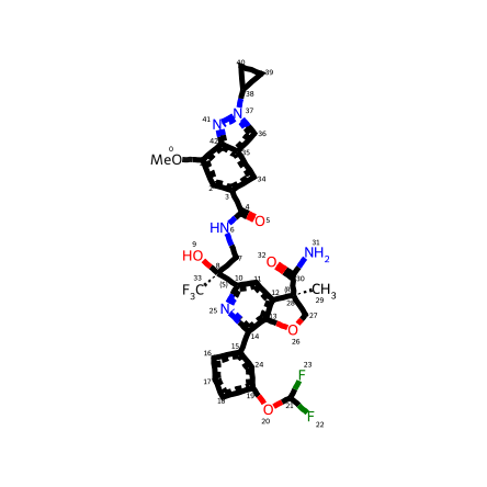 COc1cc(C(=O)NC[C@](O)(c2cc3c(c(-c4cccc(OC(F)F)c4)n2)OC[C@]3(C)C(N)=O)C(F)(F)F)cc2cn(C3CC3)nc12